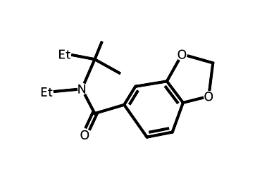 CCN(C(=O)c1ccc2c(c1)OCO2)C(C)(C)CC